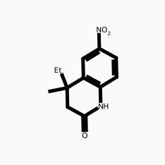 CCC1(C)CC(=O)Nc2ccc([N+](=O)[O-])cc21